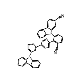 N#Cc1ccc2c3ccccc3n(-c3cccc(C#N)c3-c3ccc(-c4cccc(-n5c6ccccc6c6ccccc65)c4)cc3)c2c1